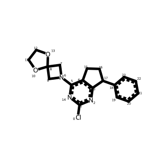 Clc1nc2c(c(N3CC4(C3)OCCO4)n1)CCC2c1ccccc1